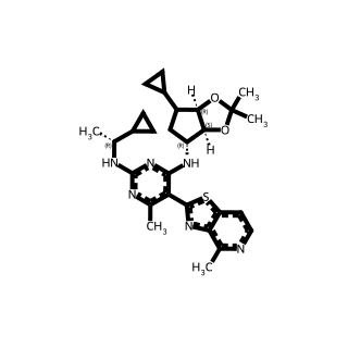 Cc1nc(N[C@H](C)C2CC2)nc(N[C@@H]2CC(C3CC3)[C@H]3OC(C)(C)O[C@H]32)c1-c1nc2c(C)nccc2s1